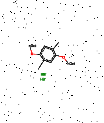 Br.Br.CCCCCCCCOc1cc(C)c(OCCCCCCCC)cc1C